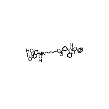 O=C(NC(c1ccccc1)c1cccc(C(=O)OCCCCCCNCC(O)c2ccc(O)c3[nH]c(=O)ccc23)c1)OC1CN2CCC1CC2